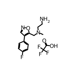 CN(CCN)Cc1oncc1-c1ccc(F)cc1.O=C(O)C(F)(F)F